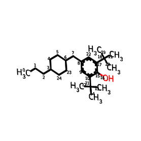 CCCC1CCC(Cc2cc(C(C)(C)C)c(O)c(C(C)(C)C)c2)CC1